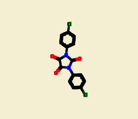 O=C1C(=O)N(c2ccc(Cl)cc2)C(=O)N1c1ccc(Cl)cc1